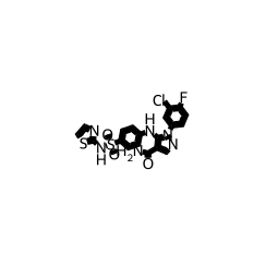 NC(=O)c1cnn(-c2ccc(F)c(Cl)c2)c1Nc1ccc(S(=O)(=O)Nc2nccs2)cc1